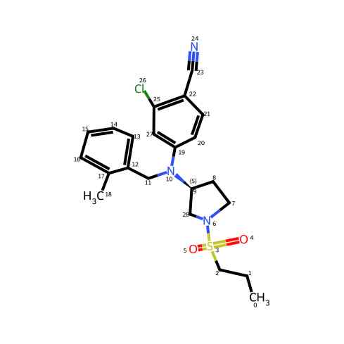 CCCS(=O)(=O)N1CC[C@H](N(Cc2ccccc2C)c2ccc(C#N)c(Cl)c2)C1